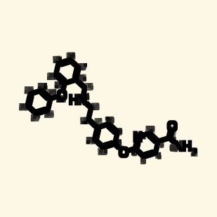 NC(=O)c1ccc(Oc2ccc(CCNCc3ccccc3Oc3ccccc3)cc2)nc1